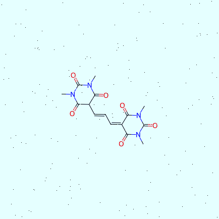 CN1C(=O)C(=CC=CC2C(=O)N(C)C(=O)N(C)C2=O)C(=O)N(C)C1=O